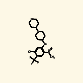 C[NH+]([O-])c1cc(C(F)(F)F)c(Cl)cc1NC1CCN(C2CCOCC2)CC1